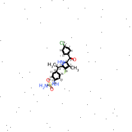 Cc1c(C(=O)c2ccc(Cl)cc2)[nH]c(C(C)c2ccc(NS(N)(=O)=O)cc2)c1F